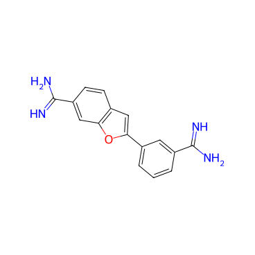 N=C(N)c1cccc(-c2cc3ccc(C(=N)N)cc3o2)c1